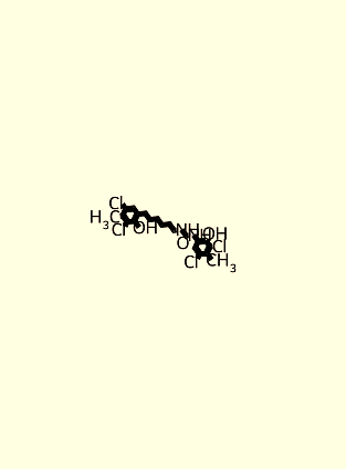 Cc1c(Cl)cc(CCCCCCNC(=O)Nc2cc(Cl)c(C)c(Cl)c2O)c(O)c1Cl